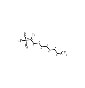 FC(CCCCCCCC(F)(F)F)[C](F)(F)[K]